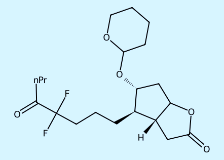 CCCC(=O)C(F)(F)CCC[C@H]1[C@H](OC2CCCCO2)CC2OC(=O)C[C@@H]21